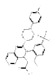 COc1ccc(C(F)(F)F)cc1N1C(N2CCN(c3ccc(F)cc3)CC2)=Nc2ccncc2C1CC(=O)O